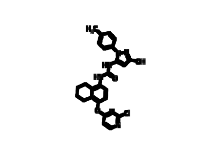 Cc1ccc(-n2nc(O)cc2NC(=O)Nc2ccc(Oc3ccnc(Cl)n3)c3c2CCCC3)cc1